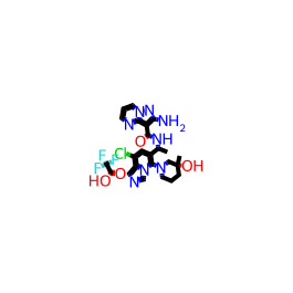 CC(NC(=O)c1c(N)nn2cccnc12)c1cc(Cl)c2cncn2c1N1CCCC(C)(O)C1.O=C(O)C(F)(F)F